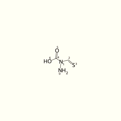 NN(C=S)C(=O)O